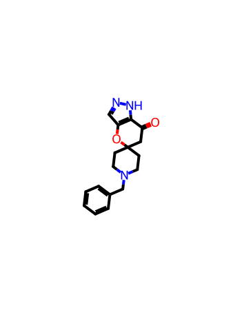 O=C1CC2(CCN(Cc3ccccc3)CC2)Oc2cn[nH]c21